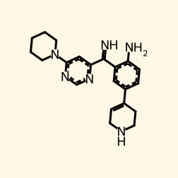 N=C(c1cc(N2CCCCC2)ncn1)c1cc(C2=CCNCC2)ccc1N